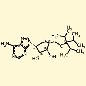 CC(C)[Si](OC[C@H]1O[C@@H](n2cnc3c(N)ncnc32)[C@@H](O)[C@@H]1O)(C(C)C)C(C)C